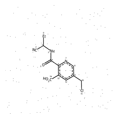 CCC(C#N)NC(=O)c1ncc(CCl)cc1C(=O)O